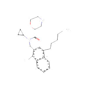 COCCCCc1cc(CN(C(=O)[C@H]2CNCCO2)C2CC2)c(C(C)=O)c2ccccc12